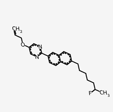 C=CCOc1cnc(-c2ccc3cc(CCCCCC(C)F)ccc3c2)nc1